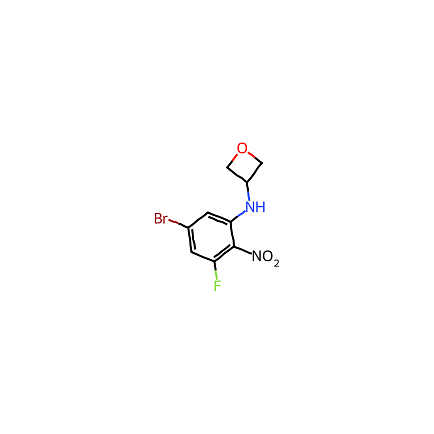 O=[N+]([O-])c1c(F)cc(Br)cc1NC1COC1